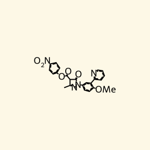 COc1ccc(N2N=C(C)C(C(=O)Oc3ccc([N+](=O)[O-])cc3)C2=O)cc1-c1ccccn1